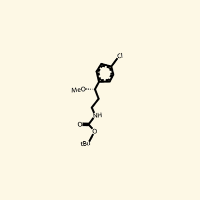 CO[C@@H](CCNC(=O)OC(C)(C)C)c1ccc(Cl)cc1